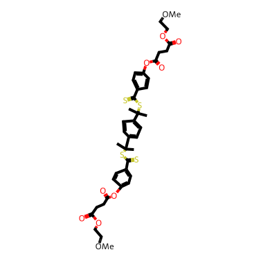 COCCOC(=O)CCC(=O)Oc1ccc(C(=S)SC(C)(C)c2ccc(C(C)(C)SC(=S)c3ccc(OC(=O)CCC(=O)OCCOC)cc3)cc2)cc1